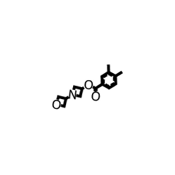 Cc1ccc(C(=O)OC2CN(C3COC3)C2)cc1C